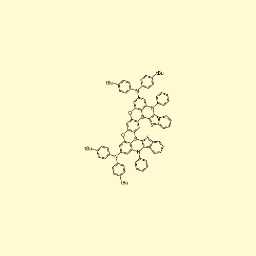 CC(C)(C)c1ccc(N(c2ccc(C(C)(C)C)cc2)c2cc3c4c(c2)N(c2ccccc2)c2c(sc5ccccc25)B4c2cc4c(cc2O3)Oc2cc(N(c3ccc(C(C)(C)C)cc3)c3ccc(C(C)(C)C)cc3)cc3c2B4c2sc4ccccc4c2N3c2ccccc2)cc1